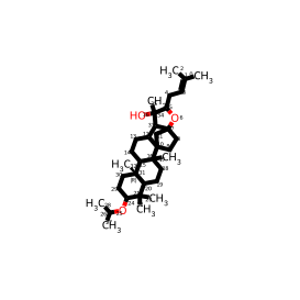 CC(C)=CCC1OC23CCC4(C2)C(CCC2C4(C)CCC4C(C)(C)C(OC(C)C)CC[C@@]42C)C3C1(C)O